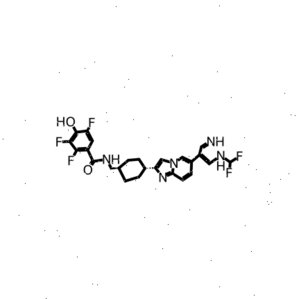 N=C/C(=C\NC(F)F)c1ccc2nc([C@H]3CC[C@H](CNC(=O)c4cc(F)c(O)c(F)c4F)CC3)cn2c1